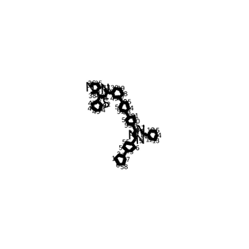 c1ccc(-c2ccc(-c3nc(-c4ccccc4)nc(-c4ccc(-c5ccc(-c6cccc(-c7nc8ccncc8c8c7sc7ccccc78)c6)cc5)cc4)n3)cc2)cc1